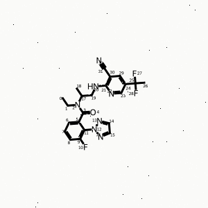 CCN(C(=O)c1cccc(F)c1-n1nccn1)C(C)CNc1ncc(C(C)(F)F)cc1C#N